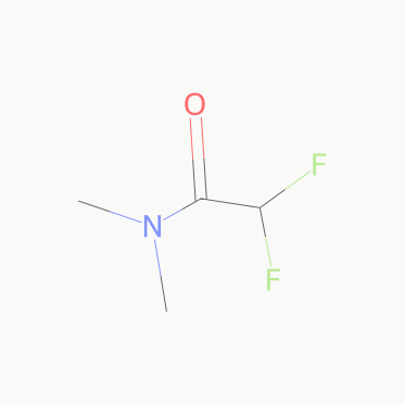 CN(C)C(=O)C(F)F